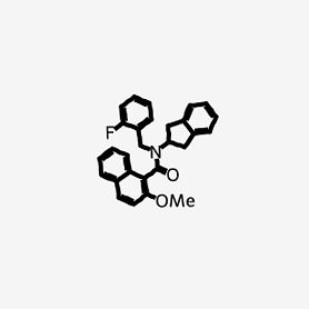 COc1ccc2ccccc2c1C(=O)N(Cc1ccccc1F)C1Cc2ccccc2C1